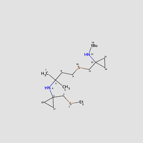 CCSCC1(NC(C)(C)CCSCC2(NC(C)(C)C)CC2)CC1